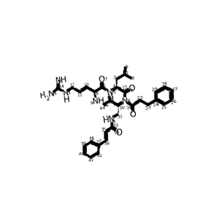 CC(C)C[C@H](NC(=O)[C@@H](N)CCCNC(=N)N)C(=O)N(C(=O)CCc1ccccc1)[C@H](CNC(=O)/C=C/c1ccccc1)C(C)C